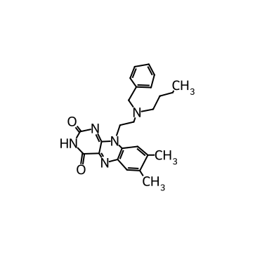 CCCCN(CCn1c2nc(=O)[nH]c(=O)c-2nc2cc(C)c(C)cc21)Cc1ccccc1